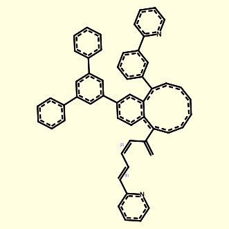 C=C(/C=C\C=C\c1ccccn1)c1ccccccc(-c2cccc(-c3ccccn3)c2)c2cc(-c3cc(-c4ccccc4)cc(-c4ccccc4)c3)ccc12